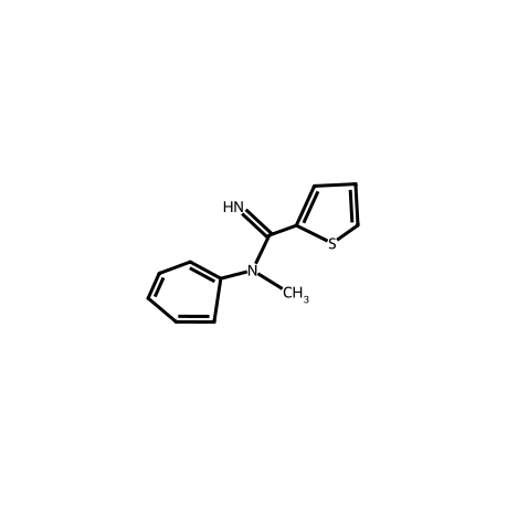 CN(C(=N)c1cccs1)c1ccccc1